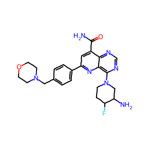 NC(=O)c1cc(-c2ccc(CN3CCOCC3)cc2)nc2c(N3CCC(F)C(N)C3)ncnc12